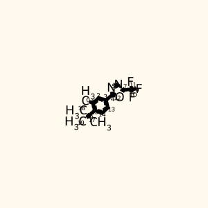 Cc1cc(-c2nnc(C(F)(F)F)o2)ccc1C(C)(C)C